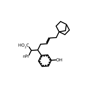 CCCC(C(=O)O)C(CC=CCC12CCC(CC1)C2)c1cccc(O)c1